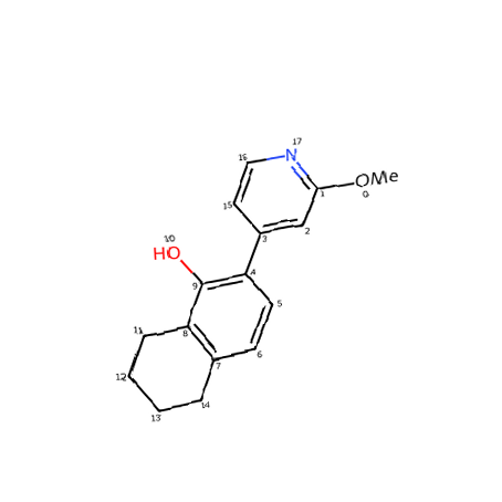 COc1cc(-c2ccc3c(c2O)CCCC3)ccn1